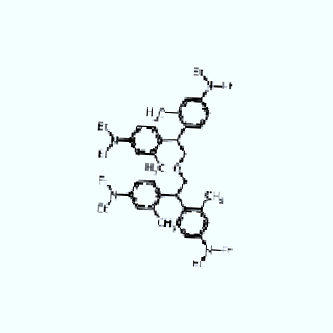 CCN(CC)c1ccc(C(COCC(c2ccc(N(CC)CC)cc2C)c2ccc(N(CC)CC)cc2C)c2ccc(N(CC)CC)cc2C)c(C)c1